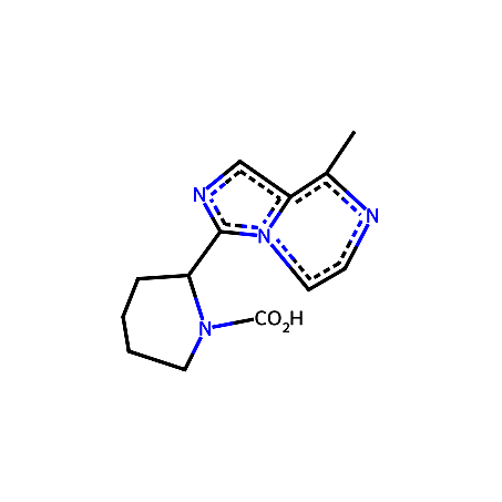 Cc1nccn2c(C3CCCCN3C(=O)O)ncc12